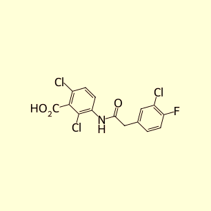 O=C(Cc1ccc(F)c(Cl)c1)Nc1ccc(Cl)c(C(=O)O)c1Cl